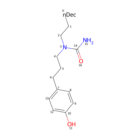 CCCCCCCCCCCCN(CCCc1ccc(O)cc1)C(N)=O